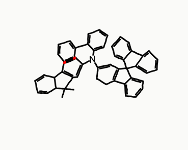 CC1(C)c2cc(N(C3=CC4=C(CC3)c3ccccc3C43c4ccccc4-c4ccccc43)c3ccccc3-c3ccccc3)ccc2C2C=CC=CC21